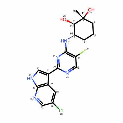 C[C@@]1(O)CCC[C@H](Nc2nc(-c3c[nH]c4ncc(Cl)cc34)ncc2F)[C@H]1O